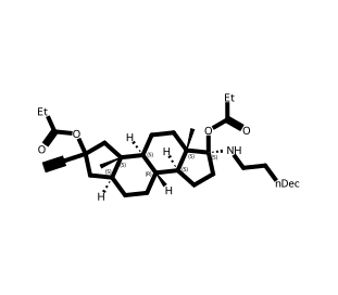 C#CC1(OC(=O)CC)C[C@@H]2CC[C@@H]3[C@H](CC[C@@]4(C)[C@H]3CC[C@]4(NCCCCCCCCCCCC)OC(=O)CC)[C@@]2(C)C1